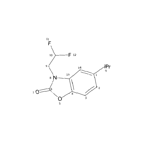 CC(C)c1ccc2oc(=O)n(CC(F)F)c2c1